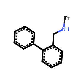 CC(C)NCc1ccccc1-c1ccccc1